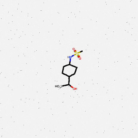 CS(=O)(=O)NC1CCC(C(O)S(=O)(=O)O)CC1